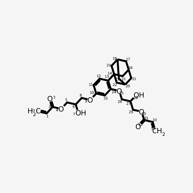 C=CC(=O)OCC(O)COc1ccc(C23CC4CC(CC(C4)C2)C3)c(OCC(O)COC(=O)C=C)c1